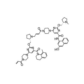 C=CC(=O)N1CCN(c2cc(C(=O)N3CCCc4cccc(C)c43)nc(OC[C@@H]3CCCN3C/C=C/C(=O)N3CCN(c4cc(C(=O)Nc5cc(O)cc6ccccc56)nc(OC[C@@H]5CCCN5C)n4)CC3)n2)CC1